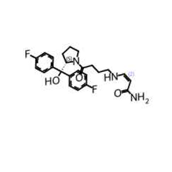 NC(=O)/C=C\NCCCC(=O)N1CCC[C@H]1C(O)(c1ccc(F)cc1)c1ccc(F)cc1